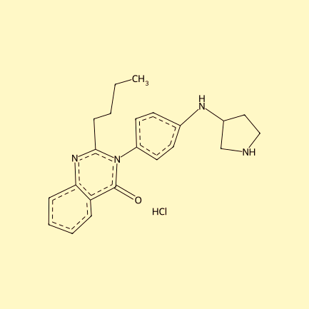 CCCCc1nc2ccccc2c(=O)n1-c1ccc(NC2CCNC2)cc1.Cl